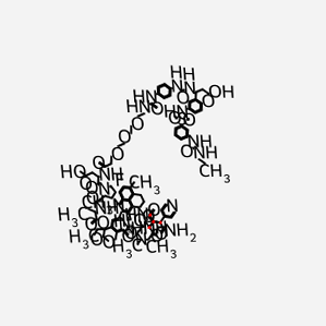 CCCNC(=O)Nc1cccc(S(=O)(=O)Nc2cccc(C(CC(=O)O)NC(=O)Nc3ccc(NC(=O)NCCOCCOCCOCCC(=O)NC(CC(=O)O)C(=O)N4CCCC4C(=O)NC(C(=O)OC4(CC)C(=O)OCc5c4cc4n(c5=O)Cc5c-4nc4cc(F)c(C)c6c4c5C(NC(=O)C(CC(N)=O)NC(=O)C(C)N(C)C(=O)C(C)NC(=O)Cc4ccncc4)CC6)C(C)C)cc3)c2)c1